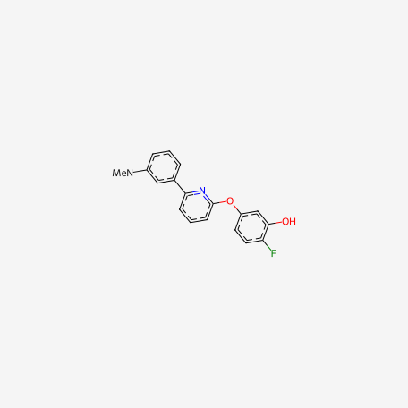 CNc1cccc(-c2cccc(Oc3ccc(F)c(O)c3)n2)c1